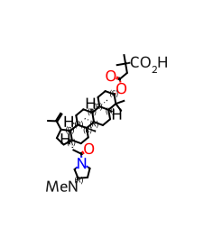 C=C(C)C1CC[C@]2(CC(=O)N3CC[C@@H](NC)C3)CC[C@]3(C)[C@H](CC[C@@H]4[C@@]5(C)CC[C@H](OC(=O)CC(C)(C)C(=O)O)C(C)(C)[C@@H]5CC[C@]43C)[C@@H]12